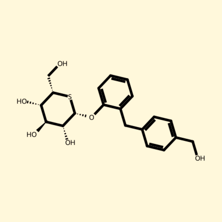 OCc1ccc(Cc2ccccc2O[C@H]2S[C@@H](CO)[C@@H](O)[C@H](O)[C@H]2O)cc1